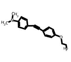 CN(C)c1ccc(C#Cc2ccc(OCC[18F])cc2)cc1